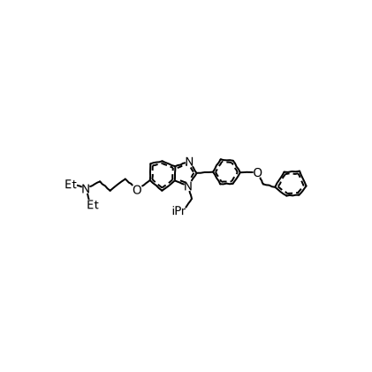 CCN(CC)CCCOc1ccc2nc(-c3ccc(OCc4ccccc4)cc3)n(CC(C)C)c2c1